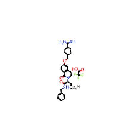 N=C(N)c1ccc(COc2ccc3c(c2)CCN(C(CC(=O)O)C(=O)NCc2ccccc2)C3=O)cc1.O=C(O)C(F)(F)F